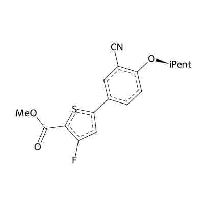 CCC[C@H](C)Oc1ccc(-c2cc(F)c(C(=O)OC)s2)cc1C#N